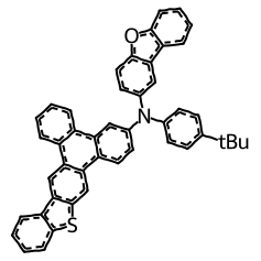 CC(C)(C)c1ccc(N(c2ccc3oc4ccccc4c3c2)c2ccc3c(c2)c2ccccc2c2cc4c(cc32)sc2ccccc24)cc1